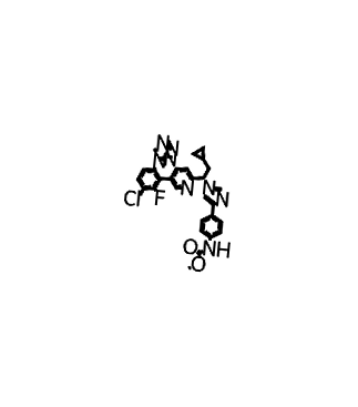 COC(=O)Nc1ccc(-c2cn(C(CC3CC3)c3ccc(-c4c(-n5cnnn5)ccc(Cl)c4F)cn3)cn2)cc1